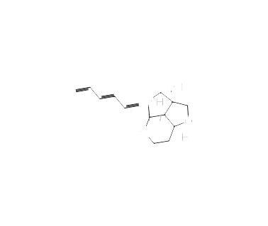 C=C/C=C/C=C/[C@]12OCC[C@@H]3OC[C@](O)(CO1)[C@@H]32